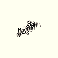 CO[C@@]1(NC(=O)C(NC(N)=O)c2cccs2)C(=O)N2C(C(=O)O)=C(CSc3cnn[nH]3)CSC21